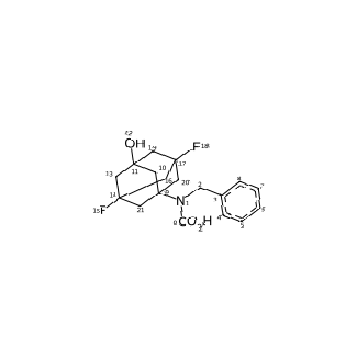 O=C(O)N(Cc1ccccc1)C12CC3(O)CC(F)(CC(F)(C3)C1)C2